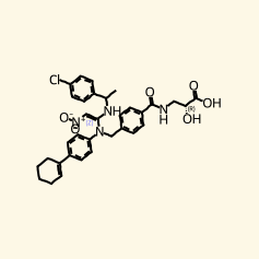 CC(N/C(=C/[N+](=O)[O-])N(Cc1ccc(C(=O)NC[C@@H](O)C(=O)O)cc1)c1ccc(C2=CCCCC2)cc1)c1ccc(Cl)cc1